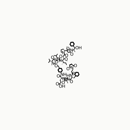 CC[C@H](C)[C@@H]([C@@H](CC(=O)N1CCC[C@H]1[C@H](OC)[C@@H](C)C(=O)N[C@H](C)[C@@H](O)c1ccccc1)OC)N(C)C(=O)[C@@H](NC(=O)[C@H](C(C)C)N(C)C(=O)OCc1ccc(NC(=O)[C@H](CCC(=O)O)NC(=O)[C@H](C)NC(=O)[C@H](Cc2ccccc2)NC(=O)CCN2C(=O)C=CC2=O)cc1)C(C)C